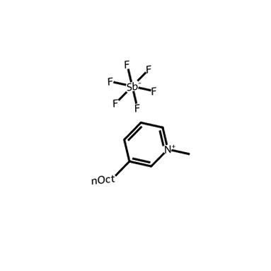 CCCCCCCCc1ccc[n+](C)c1.[F][Sb-]([F])([F])([F])([F])[F]